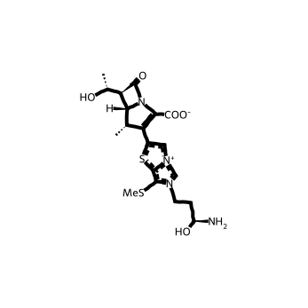 CSc1c2sc(C3=C(C(=O)[O-])N4C(=O)[C@H]([C@@H](C)O)[C@H]4[C@H]3C)c[n+]2cn1CC[C@@H](N)O